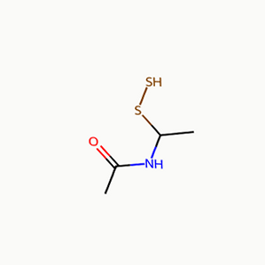 CC(=O)NC(C)SS